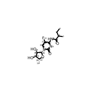 CCC(C)C(=O)Nc1nc(=O)n([C@@H]2O[C@H](C)[C@@H](O)[C@H]2O)cc1F